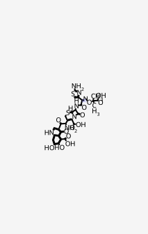 CC(C)(O/N=C(\C(=O)NC1C(=O)N2C(C(=O)O)=C(C(N)C(=O)c3c[nH]c4cc(O)c(O)c(C(=O)O)c4c3=O)CS[C@H]12)c1csc(N)n1)C(=O)O